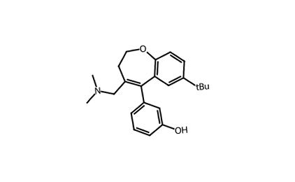 CN(C)CC1=C(c2cccc(O)c2)c2cc(C(C)(C)C)ccc2OCC1